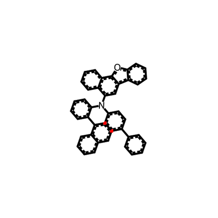 c1ccc(-c2ccc(N(c3ccccc3-c3cccc4ccccc34)c3cc4c5ccccc5oc4c4ccccc34)cc2)cc1